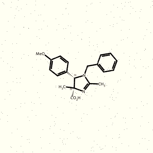 COc1ccc([C@@H]2N(Cc3ccccc3)C(C)=N[C@]2(C)C(=O)O)cc1